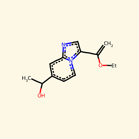 C=C(OCC)c1cnc2cc(C(C)O)ccn12